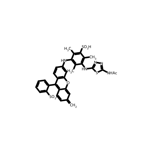 C=c1ccc2c(c1)Oc1cc(Nc3c(C)c(Nc4nnc(NC(C)=O)s4)c(C)c(S(=O)(=O)O)c3C)ccc1C=2c1ccccc1S(=O)(=O)O